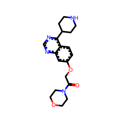 O=C(COc1ccc2c(C3CCNCC3)ncnc2c1)N1CCOCC1